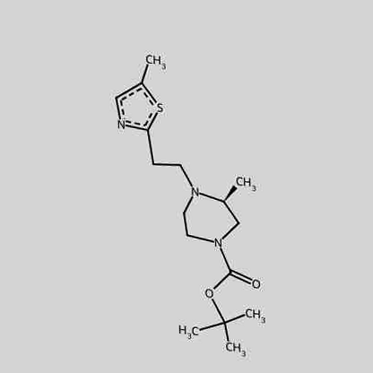 Cc1cnc(CCN2CCN(C(=O)OC(C)(C)C)C[C@@H]2C)s1